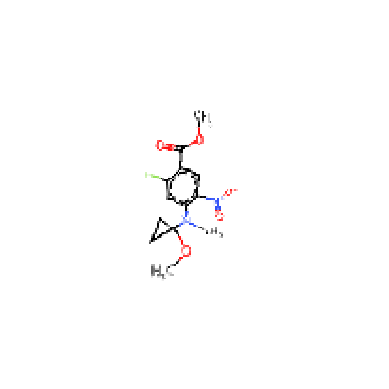 COC(=O)c1cc([N+](=O)[O-])c(N(C)C2(OC)CC2)cc1F